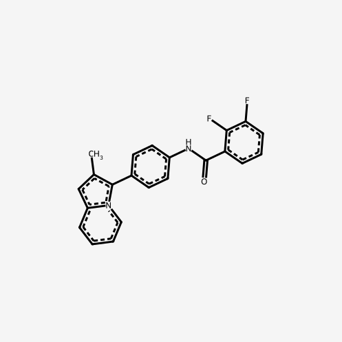 Cc1cc2ccccn2c1-c1ccc(NC(=O)c2cccc(F)c2F)cc1